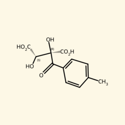 Cc1ccc(C(=O)[C@@](O)(C(=O)O)[C@H](O)C(=O)O)cc1